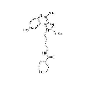 CCCCc1nc2c(N)nc3ccc(O)cc3c2n1CCCCNC(=O)N1CCOCC1